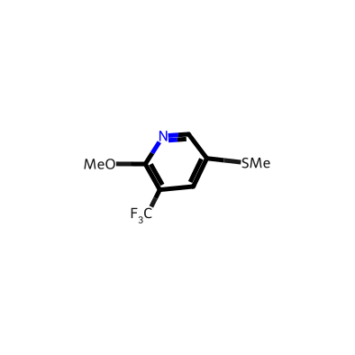 COc1ncc(SC)cc1C(F)(F)F